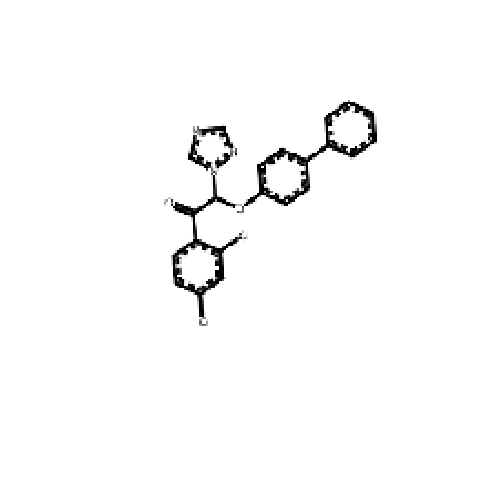 O=C(c1ccc(Cl)cc1Cl)C(Oc1ccc(-c2ccccc2)cc1)n1cncn1